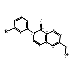 N#Cc1cccc(-n2ccc3cc(CO)ccc3c2=O)c1